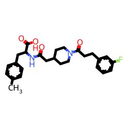 Cc1ccc(CC(NC(=O)CC2CCN(C(=O)CCc3cccc(F)c3)CC2)C(=O)O)cc1